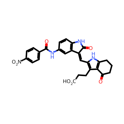 O=C(O)CCc1c(C=C2C(=O)Nc3ccc(NC(=O)c4ccc([N+](=O)[O-])cc4)cc32)[nH]c2c1C(=O)CCC2